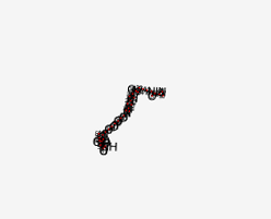 O=C(/C=C/c1cccnc1)NCCCCC1CCN(C(=O)c2ccc(N3CCC(N4CCN(CCOCCOCCOCCOCCSc5cccc6c5C(=O)N(C5CCC(=O)NC5=O)C6=O)CC4)CC3)nc2)CC1